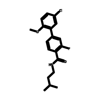 COc1ccc(Cl)cc1-c1ccc(C(=O)NCCC(C)C)c(F)c1